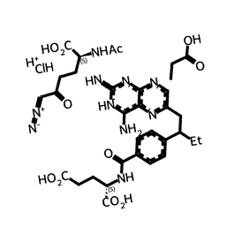 CC(=O)N[C@@H](CCC(=O)C=[N+]=[N-])C(=O)O.CCC(=O)O.CCC(Cc1cnc2nc(=N)[nH]c(N)c2n1)c1ccc(C(=O)N[C@@H](CCC(=O)O)C(=O)O)cc1.Cl.[H+]